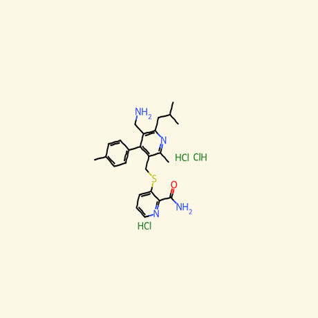 Cc1ccc(-c2c(CSc3cccnc3C(N)=O)c(C)nc(CC(C)C)c2CN)cc1.Cl.Cl.Cl